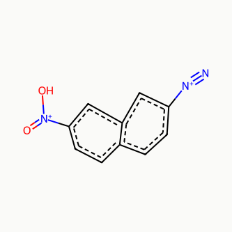 N#[N+]c1ccc2ccc([N+](=O)O)cc2c1